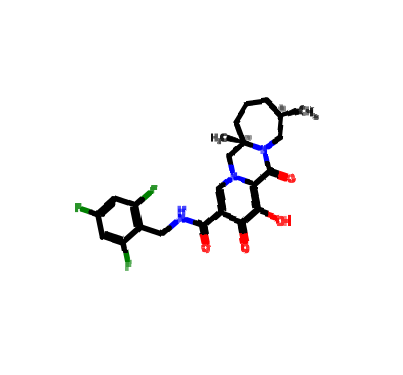 C[C@@H]1CCC[C@@]2(C)Cn3cc(C(=O)NCc4c(F)cc(F)cc4F)c(=O)c(O)c3C(=O)N2C1